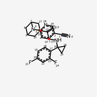 N#Cc1ccc(N2C3CC2CN(C(=O)CNC2(c4ccc(F)cc4F)CC2)C3)nc1